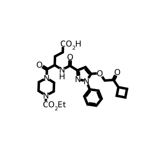 CCOC(=O)N1CCN(C(=O)C(CCC(=O)O)NC(=O)c2cc(OCC(=O)C3CCC3)n(-c3ccccc3)n2)CC1